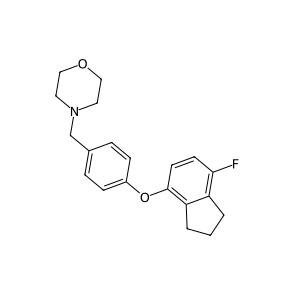 Fc1ccc(Oc2ccc(CN3CCOCC3)cc2)c2c1CCC2